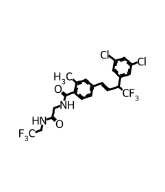 Cc1cc(/C=C/C(c2cc(Cl)cc(Cl)c2)C(F)(F)F)ccc1C(=O)NCC(=O)NCC(F)(F)F